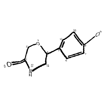 O=C1COC(c2ccc(Cl)cc2)CN1